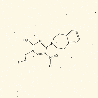 CC1N=C(N2CCc3ccccc3CC2)C([N+](=O)[O-])=CN1CCF